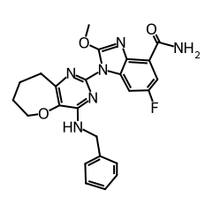 COc1nc2c(C(N)=O)cc(F)cc2n1-c1nc2c(c(NCc3ccccc3)n1)OCCCC2